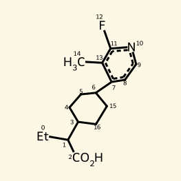 CCC(C(=O)O)C1CCC(c2ccnc(F)c2C)CC1